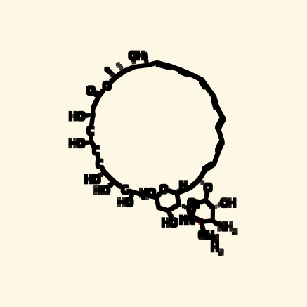 C[C@@H]1[C@H](O)[C@@H](C)/C=C/C=C/C=C/C=C/C=C/C=C/C=C/[C@H](O[C@@H]2O[C@H](C)[C@@H](O)[C@H](N)[C@H]2O)C[C@@H]2O[C@](O)(C[C@@H](O)C[C@@H](O)[C@H](O)CC[C@@H](O)C[C@@H](O)CC(=O)O[C@H]1C)C[C@H](O)[C@H]2C(=O)NCCN